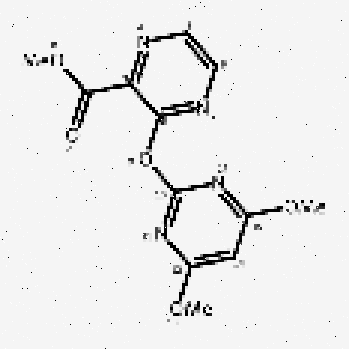 COC(=O)c1nccnc1Oc1nc(OC)cc(OC)n1